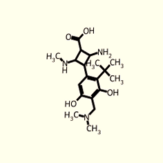 CNC1C(C(=O)O)C(N)C1c1cc(O)c(CN(C)C)c(O)c1C(C)(C)C